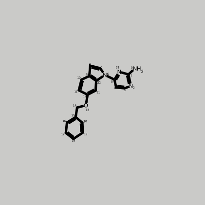 Nc1nccc(-n2ccc3ccc(OCc4ccccc4)cc32)n1